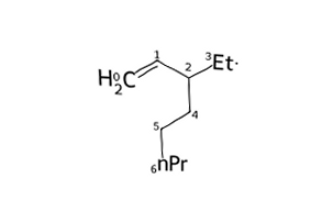 C=CC([CH]C)CCCCC